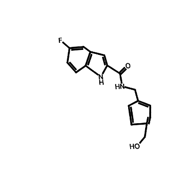 O=C(NCc1ccc(CO)cc1)c1cc2cc(F)ccc2[nH]1